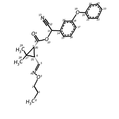 CCCON=C[C@H]1[C@@H](C(=O)OC(C#N)c2cccc(Oc3ccccc3)c2)C1(C)C